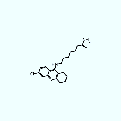 NC(=O)CCCCCCNc1c2c(nc3cc(Cl)ccc13)CCCC2